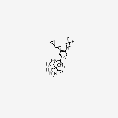 C[C@H](NC(=O)c1cc(OCC2CC2)c(N2CC(F)(F)C2)cn1)C(C)(C)C(N)=O